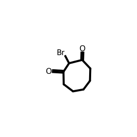 O=C1CCCCCC(=O)C1Br